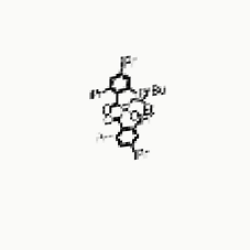 CCCCC(CC)CP(=O)(C(=O)c1c(C(C)C)cc(C(C)C)cc1C(C)C)C(=O)c1c(C(C)C)cc(C(C)C)cc1C(C)C